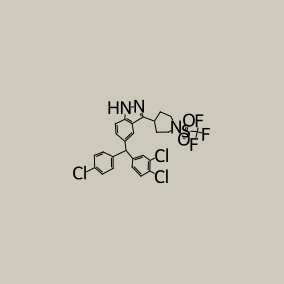 O=S(=O)(N1CCC(c2n[nH]c3ccc(C(c4ccc(Cl)cc4)c4ccc(Cl)c(Cl)c4)cc23)CC1)C(F)(F)F